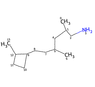 CC(CN)CC(C)CCC1CCC1C